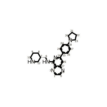 c1cnc2c(NC[C@H]3CCCNC3)nc(-c3ccc(N4CCCC4)cc3)cc2n1